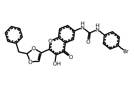 O=C(Nc1ccc(Br)cc1)Nc1ccc2oc(C3=COC(Cc4ccccc4)O3)c(O)c(=O)c2c1